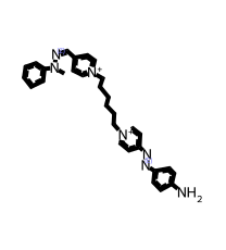 CN(/N=C\c1cc[n+](CCCCCC[n+]2ccc(/N=N/c3ccc(N)cc3)cc2)cc1)c1ccccc1